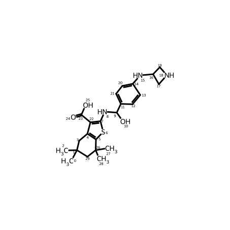 CC1(C)Cc2c(sc(NC(O)c3ccc(NC4CNC4)cc3)c2C(=O)O)C(C)(C)C1